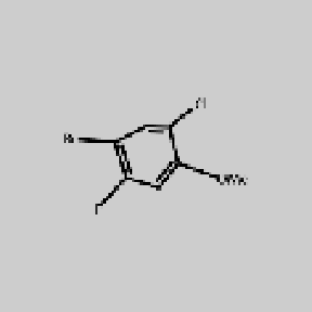 COc1cc(I)c(Br)cc1Cl